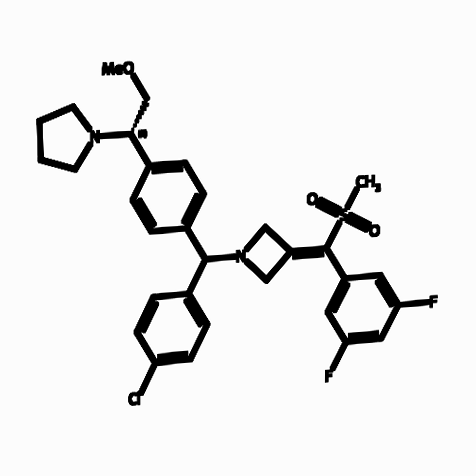 COC[C@H](c1ccc(C(c2ccc(Cl)cc2)N2CC(=C(c3cc(F)cc(F)c3)S(C)(=O)=O)C2)cc1)N1CCCC1